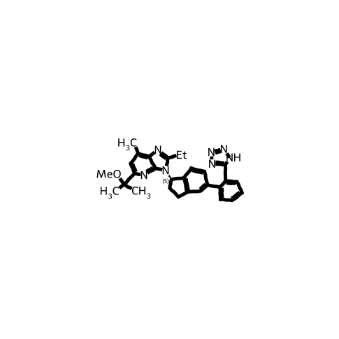 CCc1nc2c(C)cc(C(C)(C)OC)nc2n1[C@H]1CCc2cc(-c3ccccc3-c3nnn[nH]3)ccc21